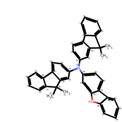 CC1(C)c2ccccc2-c2ccc(N(c3ccc4c(c3)C(C)(C)c3ccccc3-4)c3ccc4c(c3)oc3ccccc34)cc21